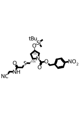 CC(C)(C)[Si](C)(C)O[C@H]1C[C@@H](CSCC(=O)NCC#N)N(C(=O)OCc2ccc([N+](=O)[O-])cc2)C1